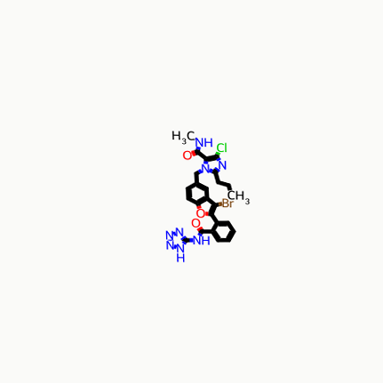 CCCc1nc(Cl)c(C(=O)NC)n1Cc1ccc2oc(-c3ccccc3C(=O)Nc3nnn[nH]3)c(Br)c2c1